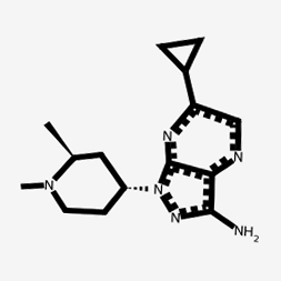 C[C@H]1C[C@H](n2nc(N)c3ncc(C4CC4)nc32)CCN1C